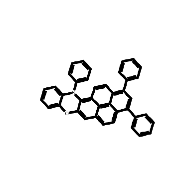 c1ccc(B2c3ccccc3Oc3cc4ccc5c(-c6ccccc6)cc(-c6ccccc6)c6ccc(c32)c4c56)cc1